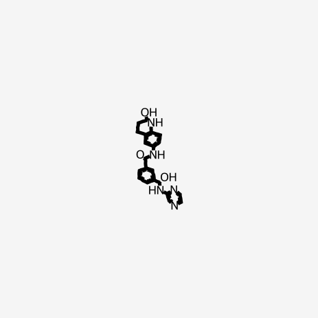 O=C(Nc1ccc2c(c1)CCC(O)N2)c1cccc(C(O)Nc2cnccn2)c1